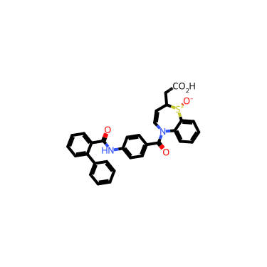 O=C(O)CC1C=CN(C(=O)c2ccc(NC(=O)c3ccccc3-c3ccccc3)cc2)c2ccccc2[S+]1[O-]